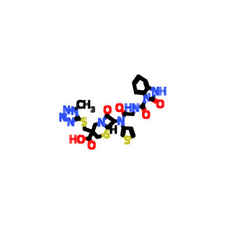 Cn1nnnc1SCC1(C(=O)O)CS[C@@H]2C(N(C(=O)CNC(=O)n3c(=O)[nH]c4ccccc43)c3ccsc3)C(=O)N2C1